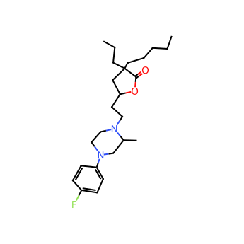 CCCCCC1(CCC)CC(CCN2CCN(c3ccc(F)cc3)CC2C)OC1=O